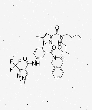 CCCCN(CCCC)C(=O)c1cc(C)n(-c2ccc(NC(=O)c3cn(C)nc3C(F)(F)F)cc2C(=O)N2Cc3ccccc3C[C@H]2CO)n1